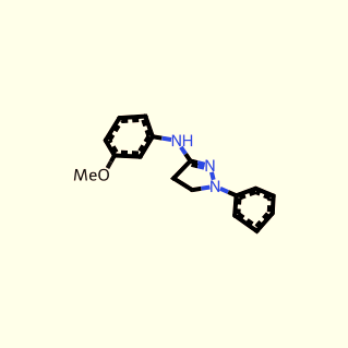 COc1cccc(NC2=NN(c3ccccc3)CC2)c1